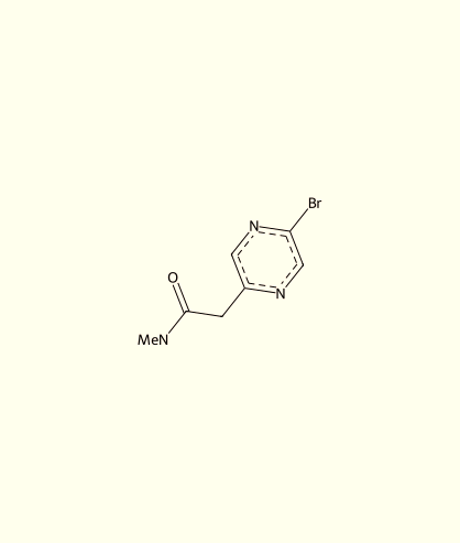 CNC(=O)Cc1cnc(Br)cn1